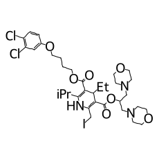 CCC1C(C(=O)OC(CN2CCOCC2)CN2CCOCC2)=C(CI)NC(C(C)C)=C1C(=O)OCCCCOc1ccc(Cl)c(Cl)c1